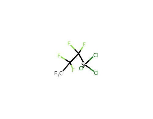 FC(F)(F)C(F)(F)C(F)(F)[Si](Cl)(Cl)Cl